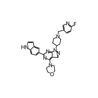 Fc1ccc(CN2CCC(n3ncc4c(N5CCOCC5)nc(-c5ccc6[nH]ccc6c5)nc43)CC2)cn1